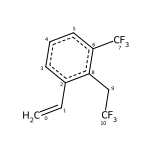 C=Cc1cccc(C(F)(F)F)c1CC(F)(F)F